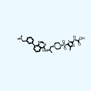 Cc1nc(NC(=O)O)sc1S(=O)(=O)N1CCN(CC(C)Nc2ncnc3c(-c4cccc(CN(C)C)c4)cccc23)CC1